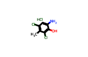 Cc1c(Cl)cc(N)c(O)c1Cl.Cl